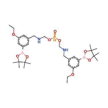 CCOc1cc(CNCO[PH](=O)OCNCc2cc(OCC)cc(B3OC(C)(C)C(C)(C)O3)c2)cc(B2OC(C)(C)C(C)(C)O2)c1